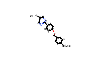 CCCCCCCCCCc1ccc(COc2ccc(-c3ncc(CCCCCC)cn3)cc2)cc1